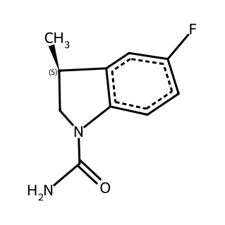 C[C@@H]1CN(C(N)=O)c2ccc(F)cc21